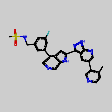 Cc1ccncc1-c1cnc2[nH]nc(-c3cc4c(-c5cc(F)cc(CNS(C)(=O)=O)c5)cncc4[nH]3)c2c1